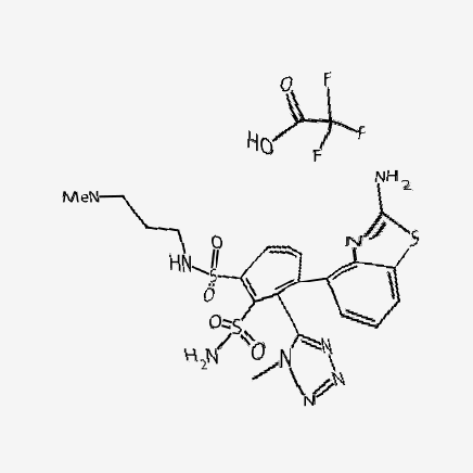 CNCCCNS(=O)(=O)c1ccc(-c2cccc3sc(N)nc23)c(-c2nnnn2C)c1S(N)(=O)=O.O=C(O)C(F)(F)F